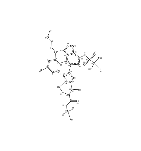 COCCOc1cc(F)cc(F)c1-c1c(-c2cc3n(n2)CCN(C(=O)OC(C)(C)C)[C@@H]3C)nc(OS(=O)(=O)C(F)(F)F)c2sccc12